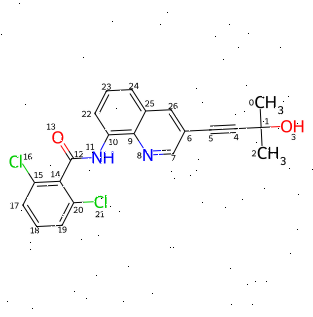 CC(C)(O)C#Cc1cnc2c(NC(=O)c3c(Cl)cccc3Cl)cccc2c1